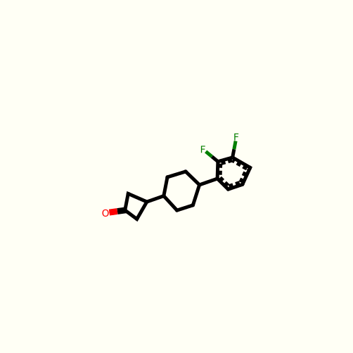 O=C1CC(C2CCC(c3cccc(F)c3F)CC2)C1